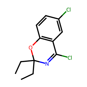 CCC1(CC)N=C(Cl)c2cc(Cl)ccc2O1